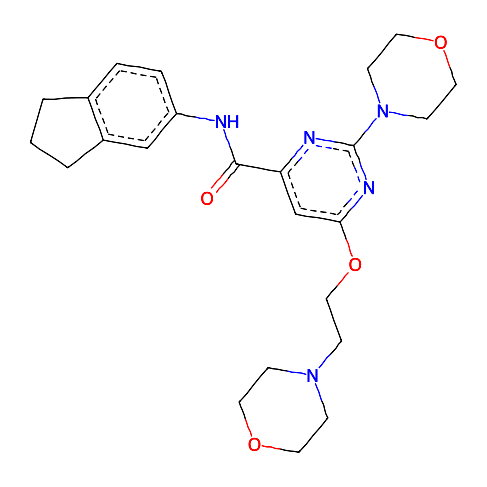 O=C(Nc1ccc2c(c1)CCC2)c1cc(OCCN2CCOCC2)nc(N2CCOCC2)n1